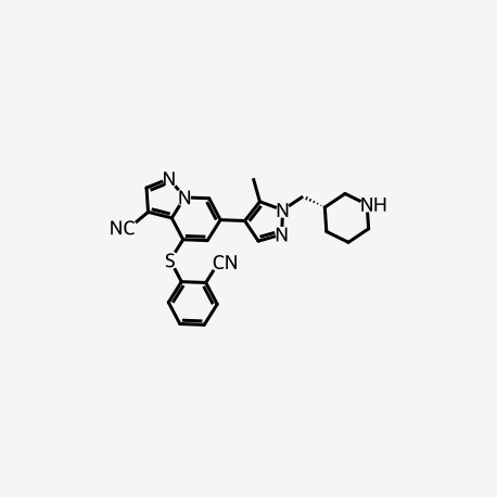 Cc1c(-c2cc(Sc3ccccc3C#N)c3c(C#N)cnn3c2)cnn1C[C@H]1CCCNC1